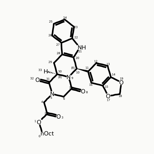 CCCCCCCCOC(=O)CN1CC(=O)N2[C@H](c3ccc4c(c3)OCO4)c3[nH]c4ccccc4c3C[C@@H]2C1=O